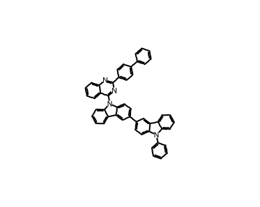 c1ccc(-c2ccc(-c3nc(-n4c5ccccc5c5cc(-c6ccc7c(c6)c6ccccc6n7-c6ccccc6)ccc54)c4ccccc4n3)cc2)cc1